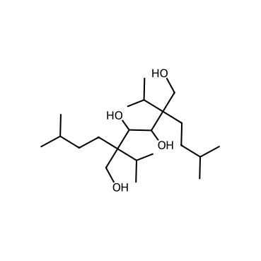 CC(C)CCC(CO)(C(C)C)C(O)C(O)C(CO)(CCC(C)C)C(C)C